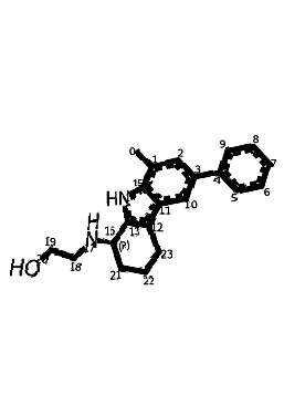 Cc1cc(-c2ccccc2)cc2c3c([nH]c12)[C@H](NCCO)CCC3